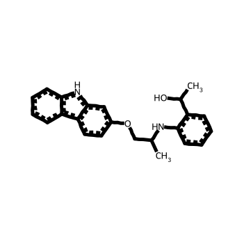 CC(COc1ccc2c(c1)[nH]c1ccccc12)Nc1ccccc1C(C)O